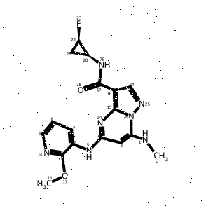 CNc1cc(Nc2cccnc2OC)nc2c(C(=O)N[C@H]3C[C@H]3F)cnn12